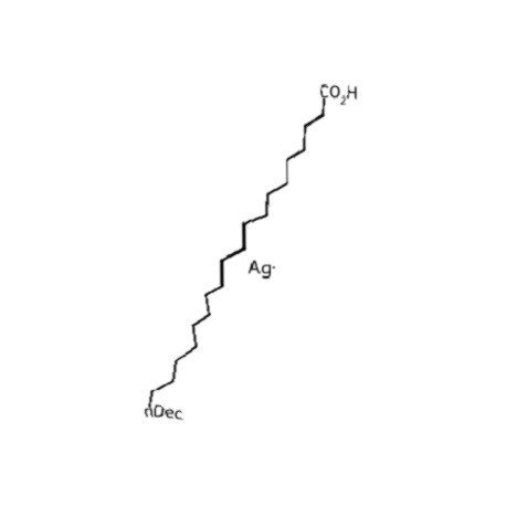 CCCCCCCCCCCCCCCCCCCCCCCCCCCCC(=O)O.[Ag]